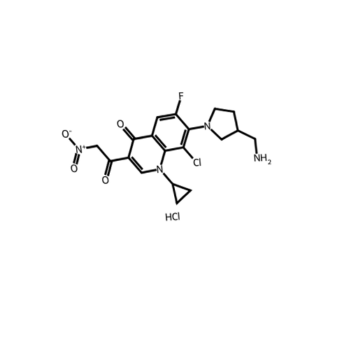 Cl.NCC1CCN(c2c(F)cc3c(=O)c(C(=O)C[N+](=O)[O-])cn(C4CC4)c3c2Cl)C1